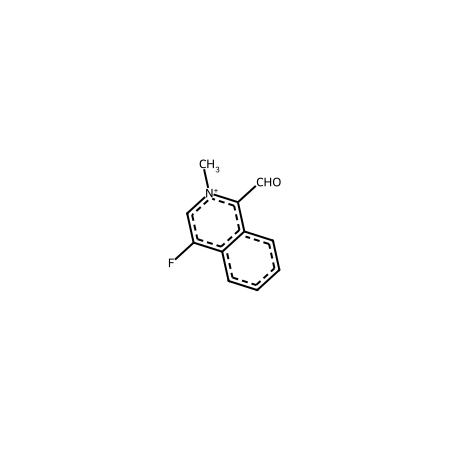 C[n+]1cc(F)c2ccccc2c1C=O